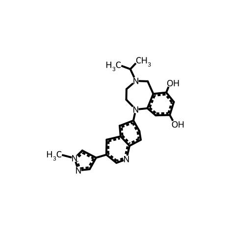 CC(C)N1CCN(c2ccc3ncc(-c4cnn(C)c4)cc3c2)c2cc(O)cc(O)c2C1